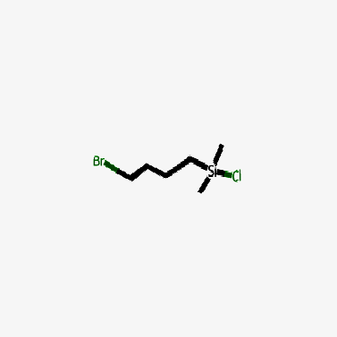 C[Si](C)(Cl)CCCCBr